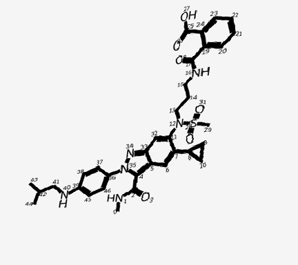 CNC(=O)c1c2cc(C3CC3)c(N(CCCNC(=O)c3ccccc3C(=O)O)S(C)(=O)=O)cc2nn1-c1ccc(NCC(C)C)cc1